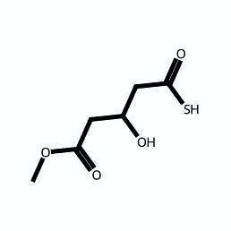 COC(=O)CC(O)CC(=O)S